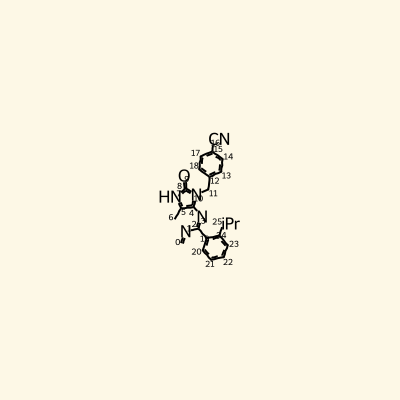 C=N/C(=N\c1c(C)[nH]c(=O)n1Cc1ccc(C#N)cc1)c1ccccc1C(C)C